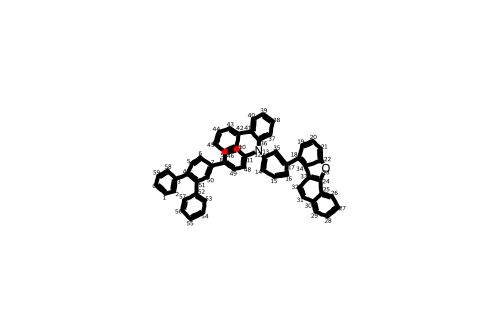 c1ccc(-c2ccc(-c3ccc(N(c4cccc(-c5cccc6oc7c8ccccc8ccc7c56)c4)c4ccccc4-c4ccccc4)cc3)cc2-c2ccccc2)cc1